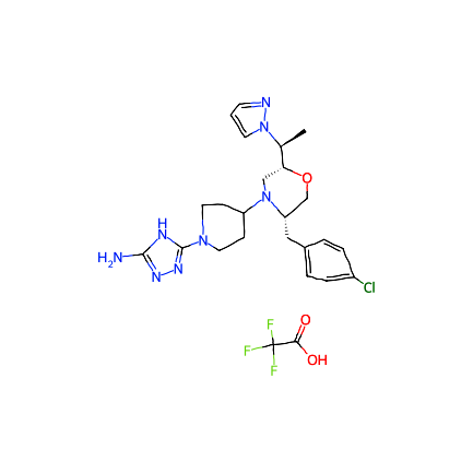 C[C@@H]([C@H]1CN(C2CCN(c3nnc(N)[nH]3)CC2)[C@@H](Cc2ccc(Cl)cc2)CO1)n1cccn1.O=C(O)C(F)(F)F